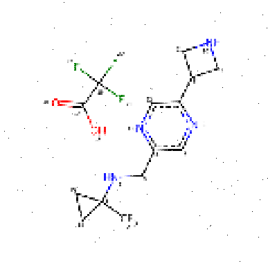 FC(F)(F)C1(NCc2cnc(C3CNC3)cn2)CC1.O=C(O)C(F)(F)F